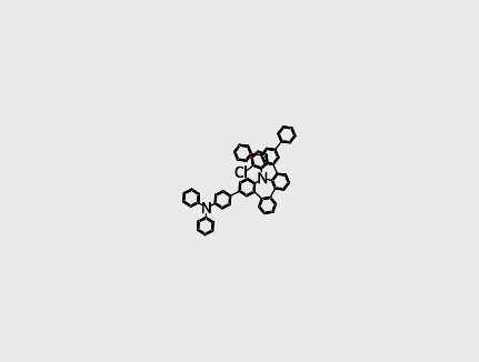 Clc1ccccc1N1c2ccc(-c3ccc(N(c4ccccc4)c4ccccc4)cc3)cc2-c2ccccc2-c2cccc(-c3cc(-c4ccccc4)cc(-c4ccccc4)c3)c21